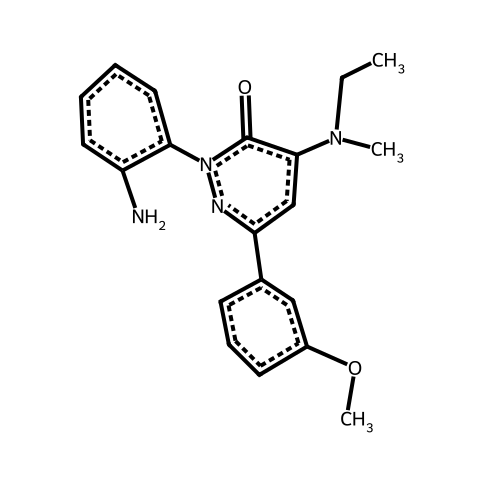 CCN(C)c1cc(-c2cccc(OC)c2)nn(-c2ccccc2N)c1=O